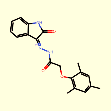 Cc1cc(C)c(OCC(=O)N/N=C2\C(=O)Nc3ccccc32)c(C)c1